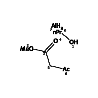 CCCO.COC(=O)CC(C)=O.[AlH3]